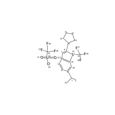 CC(C)c1ccc2cc(C3CCCC3)[s+](C(F)(F)F)c2c1.O=S(=O)([O-])C(F)(F)F